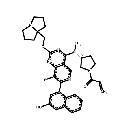 C=CC(=O)N1CC[C@@H](N(C)c2nc(OCC34CCCN3CCC4)nc3c(F)c(-c4cc(O)cc5ccccc45)ncc23)C1